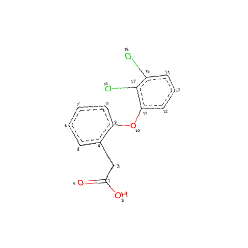 O=C(O)Cc1ccccc1Oc1cccc(Cl)c1Cl